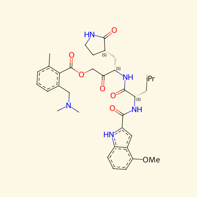 COc1cccc2[nH]c(C(=O)N[C@@H](CC(C)C)C(=O)N[C@@H](C[C@@H]3CCNC3=O)C(=O)COC(=O)c3c(C)cccc3CN(C)C)cc12